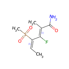 C/C=C(\C(F)=C(/C)C(N)=O)S(C)(=O)=O